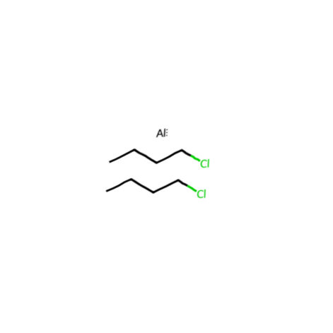 CCCCCl.CCCCCl.[Al]